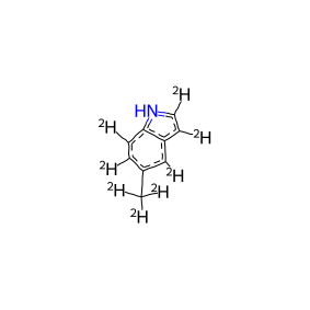 [2H]c1[nH]c2c([2H])c([2H])c(C([2H])([2H])[2H])c([2H])c2c1[2H]